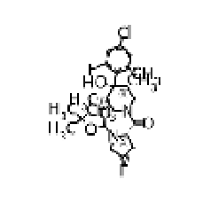 Cc1cc(Cl)cc(F)c1C1(O)[C@H](C)CN(C(=O)[C@@H]2C[C@@H](F)CN2C(=O)OC(C)(C)C)C[C@@H]1C